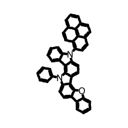 c1ccc(-n2c3ccc4c5ccccc5oc4c3c3ccc4c(c5ccccc5n4-c4ccc5ccc6cccc7ccc4c5c67)c32)cc1